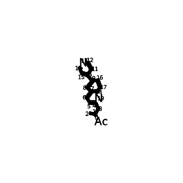 CC(=O)C(C)Cc1ccc2cc(-c3ccncc3)ccc2n1